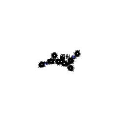 CCC1(CC)c2cc(N(c3ccccc3)c3ccc(/C=C/c4ccccc4)cc3)ccc2-c2ccc(N(c3ccccc3)c3ccc(/C=C/c4ccccc4)cc3)cc21